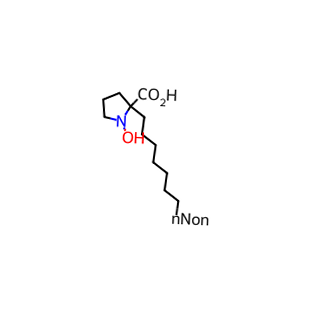 CCCCCCCCCCCCCCCCC1(C(=O)O)CCCN1O